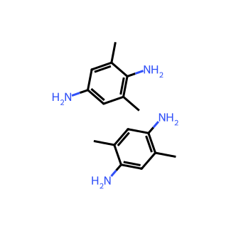 Cc1cc(N)c(C)cc1N.Cc1cc(N)cc(C)c1N